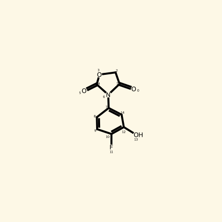 O=C1COC(=O)N1c1ccc(F)c(O)c1